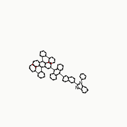 c1ccc(-c2ccccc2-c2c3ccccc3c(-c3ccccc3-c3ccccc3)c3cc(-c4c5ccccc5c(-c5ccc6cc(-c7nc8ccccc8n7-c7ccccc7)ccc6c5)c5ccccc45)ccc23)cc1